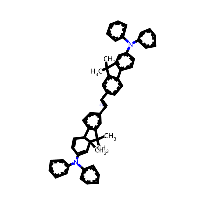 CC1(C)c2cc(/C=C/c3ccc4c(c3)C(C)(C)C3(C)C=C(N(c5ccccc5)c5ccccc5)C=CC43)ccc2-c2ccc(N(c3ccccc3)c3ccccc3)cc21